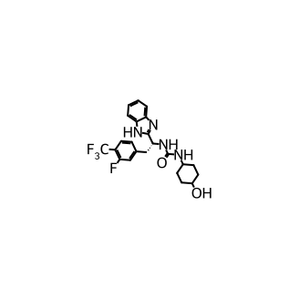 O=C(NC1CCC(O)CC1)N[C@H](Cc1ccc(C(F)(F)F)c(F)c1)c1nc2ccccc2[nH]1